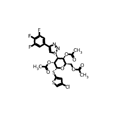 CC(=O)OC[C@H]1O[C@H](Sc2cc(Cl)cs2)[C@H](OC(C)=O)[C@@H](n2cc(-c3cc(F)c(F)c(F)c3)nn2)[C@H]1OC(C)=O